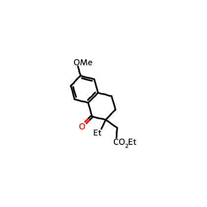 CCOC(=O)CC1(CC)CCc2cc(OC)ccc2C1=O